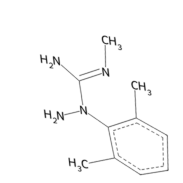 CN=C(N)N(N)c1c(C)cccc1C